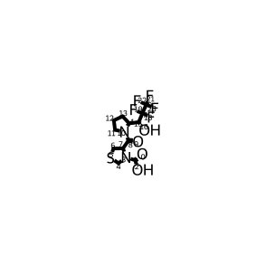 O=C(O)N1CSCC1C(=O)N1CCCC1C(O)C(F)(F)C(F)(F)F